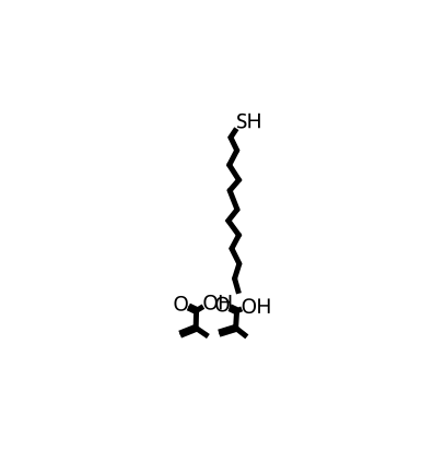 C=C(C)C(=O)O.C=C(C)C(=O)O.CCCCCCCCCCCCS